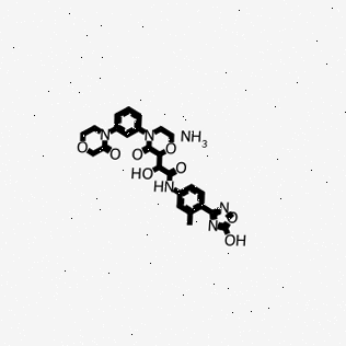 Cc1cc(NC(=O)C(O)C2OCCN(c3cccc(N4CCOCC4=O)c3)C2=O)ccc1-c1noc(O)n1.N